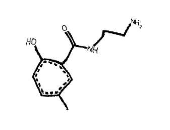 Cc1ccc(O)c(C(=O)NCCN)c1